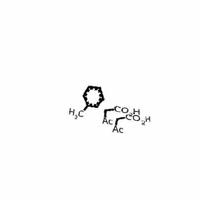 CC(=O)CC(=O)O.CC(=O)CC(=O)O.Cc1ccccc1